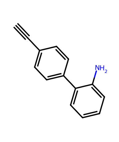 C#Cc1ccc(-c2ccccc2N)cc1